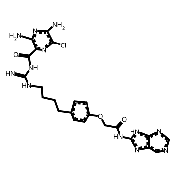 N=C(NCCCCc1ccc(OCC(=O)Nc2nc3cncnc3[nH]2)cc1)NC(=O)c1nc(Cl)c(N)nc1N